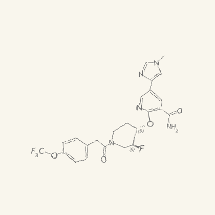 Cn1cnc(-c2cnc(O[C@H]3CCN(C(=O)Cc4ccc(OC(F)(F)F)cc4)C[C@@H]3F)c(C(N)=O)c2)c1